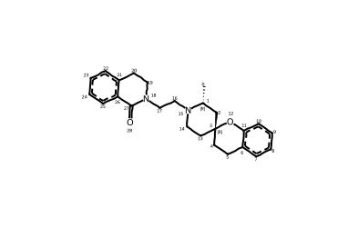 C[C@@H]1C[C@@]2(CCc3ccccc3O2)CCN1CCN1CCc2ccccc2C1=O